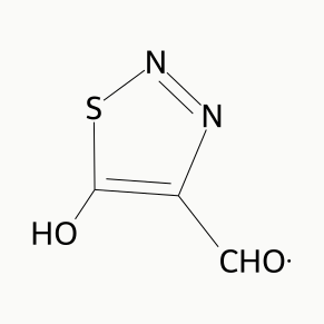 O=[C]c1nnsc1O